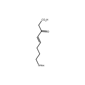 CCCCCCCCCC=CC(=O)CC(=O)O